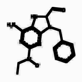 CC[S+]([O-])c1nc(N)c2c(n1)N(Cc1ccccc1)C(C=O)N2